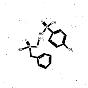 NOP(=O)(O)Cc1ccccc1.Nc1ccc(P(=O)(O)O)cc1